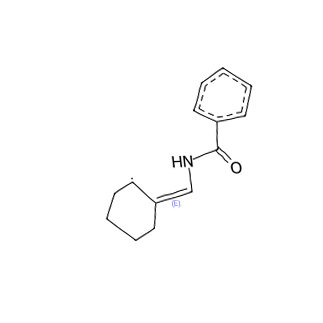 O=C(N/C=C1\[CH]CCCC1)c1ccccc1